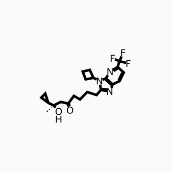 C[C@@](O)(CC(=O)CCCCc1nc2ccc(C(F)(F)F)nc2n1C1CCC1)C1CC1